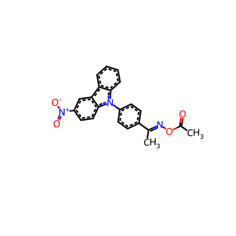 CC(=O)ON=C(C)c1ccc(-n2c3ccccc3c3cc([N+](=O)[O-])ccc32)cc1